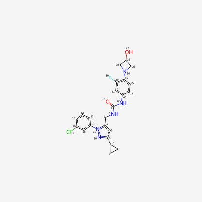 O=C(NCc1cc(C2CC2)nn1-c1cccc(Cl)c1)Nc1ccc(N2CC(O)C2)c(F)c1